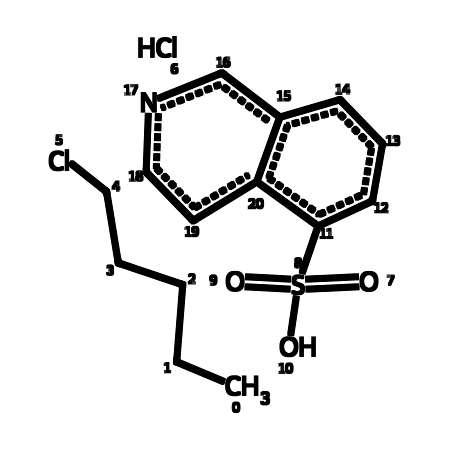 CCCCCCl.Cl.O=S(=O)(O)c1cccc2cnccc12